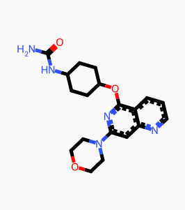 NC(=O)NC1CCC(Oc2nc(N3CCOCC3)cc3ncccc23)CC1